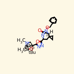 CN(C)C[C@H](O[Si](C)(C)C(C)(C)C)c1nnc(C2CC3(CC3)[C@H]3CN2C(=O)N3OCc2ccccc2)o1